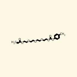 C=CC(=O)OCCOCCOCCOCCOC(=O)Oc1ccc(C)cc1